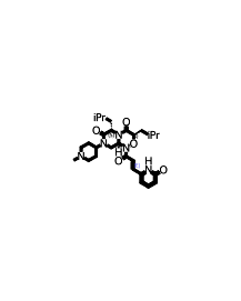 CC(C)C[C@H]1ON(C(=O)/C=C/c2cccc(=O)[nH]2)[C@H]2CN(C3CCN(C)CC3)C(=O)[C@H](CC(C)C)N2C1=O